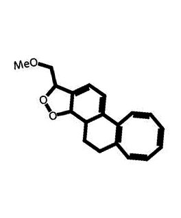 COCC1OOC2C1=CC=C1C3=C(C=CC=CC=C3)CCC12